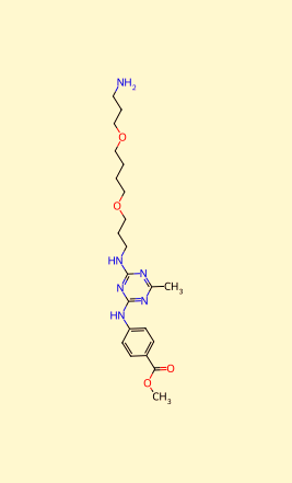 COC(=O)c1ccc(Nc2nc(C)nc(NCCCOCCCCOCCCN)n2)cc1